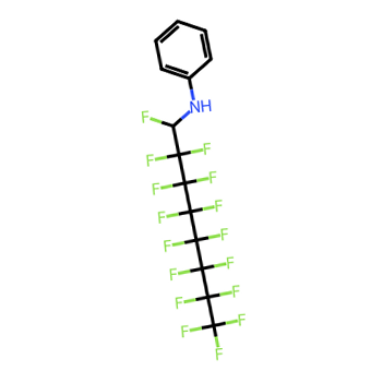 FC(Nc1ccccc1)C(F)(F)C(F)(F)C(F)(F)C(F)(F)C(F)(F)C(F)(F)C(F)(F)F